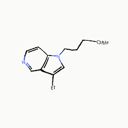 CCc1cn(CCCOC)c2ccncc12